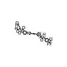 CNC(=O)C(CCC=O)N1C(=O)c2ccc(N3CC(C#Cc4cnn(C(C)(C)C(=O)Nc5ccc(C(F)(F)F)c(Cl)c5)c4)C3)cc2C1=O